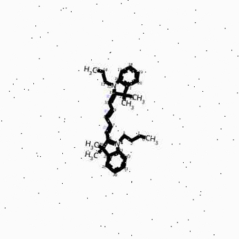 CCCC[N+]1=C(/C=C/C=C/C=C2/N(CCC)c3ccccc3C2(C)C)C(C)(C)c2ccccc21